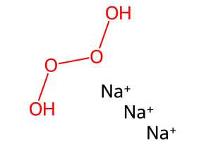 OOOO.[Na+].[Na+].[Na+]